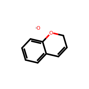 C1=Cc2ccccc2OC1.[O]